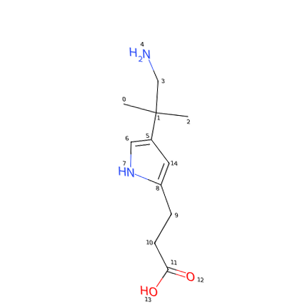 CC(C)(CN)c1c[nH]c(CCC(=O)O)c1